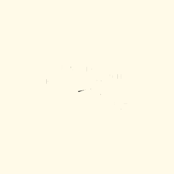 CC(=C[C@@H]1[C@@H](C(=O)O)C1(C)C)C(F)(F)F